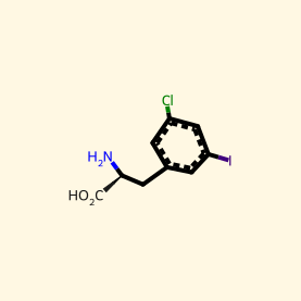 N[C@@H](Cc1cc(Cl)cc(I)c1)C(=O)O